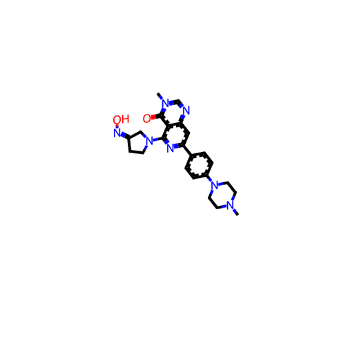 CN1CCN(c2ccc(-c3cc4ncn(C)c(=O)c4c(N4CC/C(=N/O)C4)n3)cc2)CC1